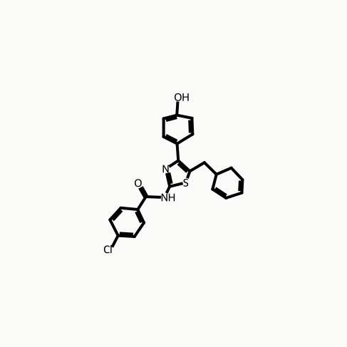 O=C(Nc1nc(-c2ccc(O)cc2)c(CC2C=CC=CC2)s1)c1ccc(Cl)cc1